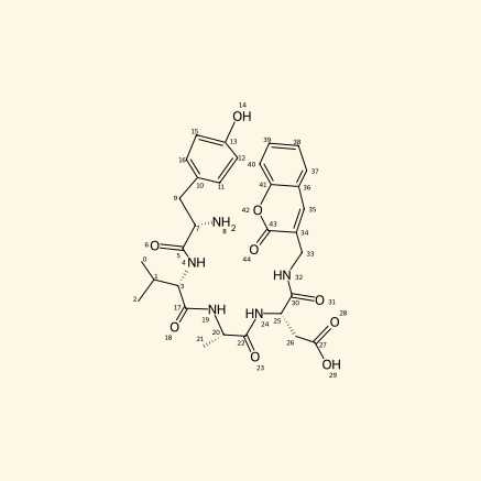 CC(C)[C@H](NC(=O)[C@@H](N)Cc1ccc(O)cc1)C(=O)N[C@@H](C)C(=O)N[C@@H](CC(=O)O)C(=O)NCc1cc2ccccc2oc1=O